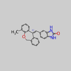 Cc1cccc2c1OCc1ccccc1/C2=C\c1ccc2[nH]c(=O)[nH]c2c1